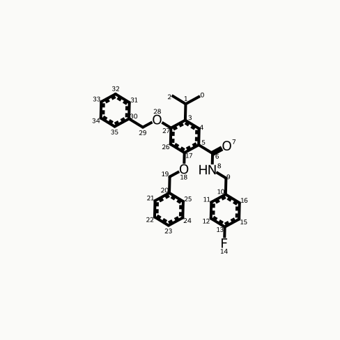 CC(C)c1cc(C(=O)NCc2ccc(F)cc2)c(OCc2ccccc2)cc1OCc1ccccc1